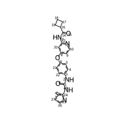 O=C(Nc1ccc(Oc2ccnc(NC(=O)C3CCC3)c2)cc1)Nc1nccs1